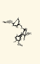 CCCCCCCc1ccc(CCc2n[nH]c(=S)n2-c2cccc(OC)c2)cc1